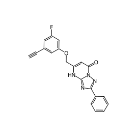 C#Cc1cc(F)cc(OCc2cc(=O)n3nc(-c4ccccc4)nc3[nH]2)c1